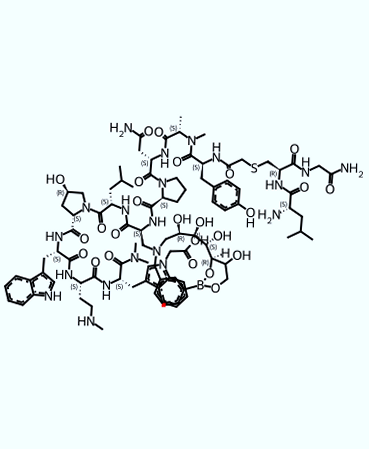 CNCC[C@H](NC(=O)[C@H](Cc1c[nH]c2ccccc12)NC(=O)[C@@H]1C[C@@H](O)CN1C(=O)[C@H](CC(C)C)NC(=O)[C@H](CN1Cc2cccc(c2)B2OCC(O)[C@@H](O2)[C@@H](O)[C@H](O)[C@H](O)C1)NC(=O)[C@@H]1CCCN1C(=O)[C@H](CC(N)=O)NC(=O)[C@H](C)N(C)C(=O)[C@H](Cc1ccc(O)cc1)NC(=O)CSC[C@H](NC(=O)[C@@H](N)CC(C)C)C(=O)NCC(N)=O)C(=O)N[C@@H](Cc1cn(CC(=O)O)c2ccccc12)C(=O)N(C)C